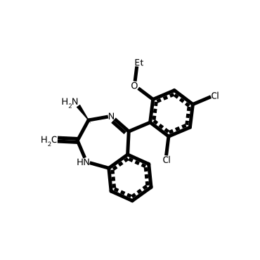 C=C1Nc2ccccc2C(c2c(Cl)cc(Cl)cc2OCC)=N[C@@H]1N